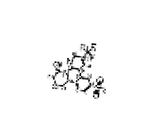 CS(=O)(=O)c1cccc(-c2cc(C(F)(F)F)cnc2N2CCCCC2=O)c1